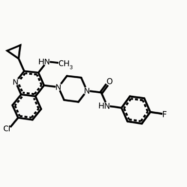 CNc1c(C2CC2)nc2cc(Cl)ccc2c1N1CCN(C(=O)Nc2ccc(F)cc2)CC1